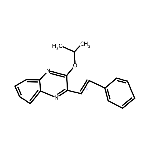 CC(C)Oc1nc2ccccc2nc1/C=C/c1ccccc1